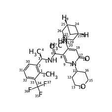 Cc1c([C@@H](C)NC(=O)c2cn(C3CCOCC3)c(=O)cc2N[C@H]2[C@@H]3C[C@H]2CN(C)C3)cccc1C(F)(F)F